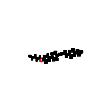 CCCCCOc1ccc([C@H]2CC[C@H](C#CC=C[C@H]3CC[C@H](CCC)CC3)CC2)cc1